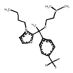 CCCCn1ccnc1C(C)(OCCN(C)C)c1ccc(C(F)(F)F)cc1